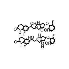 O=C1CCc2cc(C(O)CN3C[C@H]4C[C@H](Oc5ccccc5F)[C@H](O)[C@@]4(O)C3)cc(F)c2N1.O=C1CCc2cc(C(O)CN3C[C@H]4C[C@H](Oc5ccccc5F)[C@H](O)[C@@]4(O)C3)cc(F)c2N1